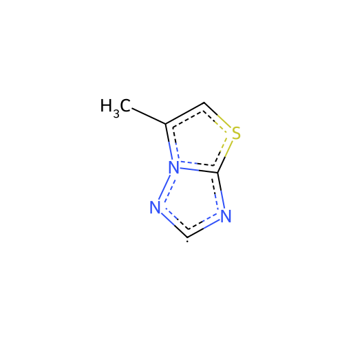 Cc1csc2n[c]nn12